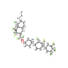 CCCc1ccc2cc(C(F)(F)Oc3ccc(-c4ccc(-c5cc(F)c(F)c(F)c5)c(F)c4F)cc3)c(F)c(F)c2c1F